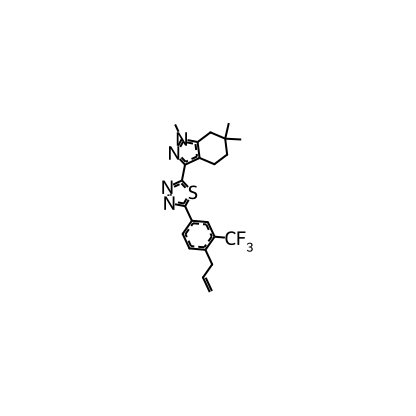 C=CCc1ccc(-c2nnc(-c3nn(C)c4c3CCC(C)(C)C4)s2)cc1C(F)(F)F